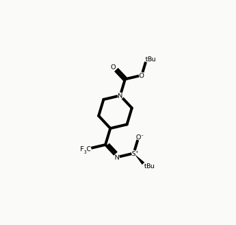 CC(C)(C)OC(=O)N1CCC(/C(=N\[S@@+]([O-])C(C)(C)C)C(F)(F)F)CC1